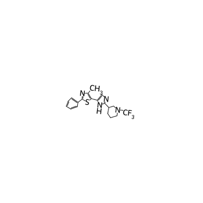 Cc1nc(-c2ccccc2)sc1-c1cnc(C2CCCN(CC(F)(F)F)C2)[nH]1